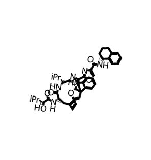 CC(C)[C@H](O)C(=O)N[C@H]1Cc2ccc3c(c2)C2(c4ccccc4NC2O3)c2oc(nc2-c2nc(C(=O)N[C@@H]3CCCc4ccccc43)co2)[C@H](C(C)C)NC1=O